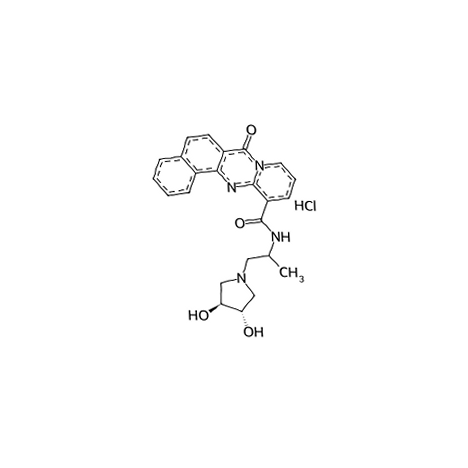 CC(CN1C[C@H](O)[C@@H](O)C1)NC(=O)c1cccn2c(=O)c3ccc4ccccc4c3nc12.Cl